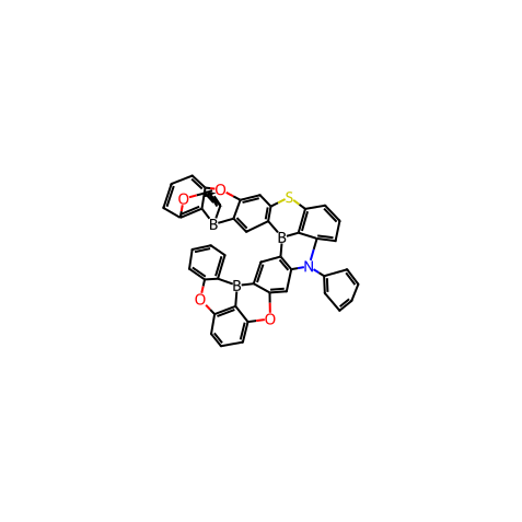 c1ccc(N2c3cc4c(cc3B3c5cc6c(cc5Sc5cccc2c53)Oc2cccc3c2B6c2ccccc2O3)B2c3ccccc3Oc3cccc(c32)O4)cc1